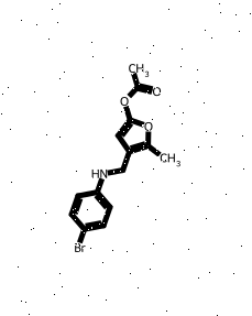 CC(=O)Oc1cc(CNc2ccc(Br)cc2)c(C)o1